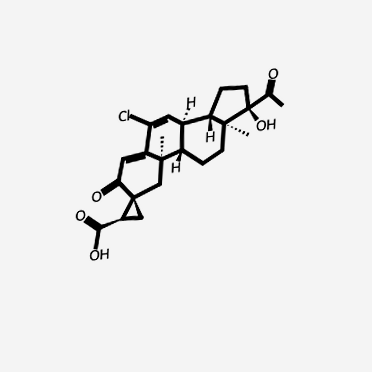 CC(=O)[C@@]1(O)CC[C@H]2[C@@H]3C=C(Cl)C4=CC(=O)[C@]5(C[C@H]5C(=O)O)C[C@]4(C)[C@H]3CC[C@@]21C